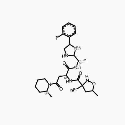 CCCC1(C(=O)N[C@@H](CC(=O)N2CCCC[C@@H]2C)C(=O)N[C@@H](C)C2NCC(c3ccccc3F)N2)CC(C)ON1